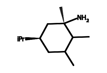 CC1C[C@@H](C(C)C)C[C@@](C)(N)C1C